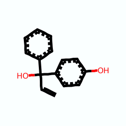 C=CC(O)(c1ccccc1)c1ccc(O)cc1